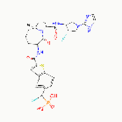 O=C(N[C@H]1CCC[C@H]2CC[C@@H](C(=O)N[C@H]3CN(c4ncc[nH]4)C[C@@H]3F)N2C1=O)c1cc2cc([C@H](F)P(=O)(O)O)ccc2s1